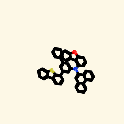 c1ccc(-c2cc(-c3cccc4c3sc3ccccc34)cc(N(c3cc4ccccc4c4ccccc34)c3cccc4oc5ccccc5c34)c2)cc1